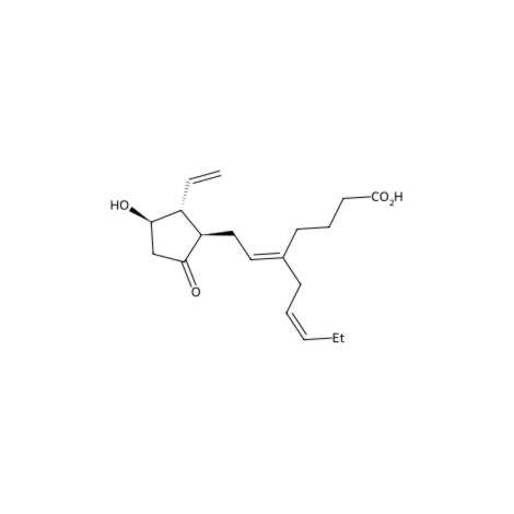 C=C[C@H]1[C@H](O)CC(=O)[C@@H]1C/C=C(/C/C=C\CC)CCCC(=O)O